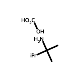 CC(C)C(C)(C)N.O=C(O)O